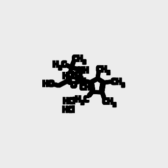 Cl.Cl.[CH2]=[Zr]([CH3])([NH]C(C)(C)C)([O]CCO)[C]1=C(C)C(C)=C(C)C1C